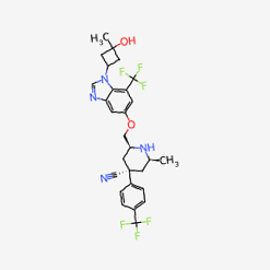 C[C@H]1C[C@@](C#N)(c2ccc(C(F)(F)F)cc2)C[C@@H](COc2cc(C(F)(F)F)c3c(c2)ncn3C2CC(C)(O)C2)N1